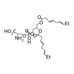 CCC=CCC=CCC(=O)OCC(COP(=O)(O)OCC(N)C(=O)O)OC(=O)CC=CCC=CCC